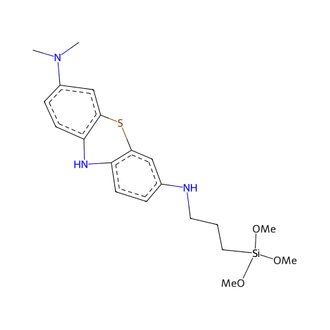 CO[Si](CCCNc1ccc2c(c1)Sc1cc(N(C)C)ccc1N2)(OC)OC